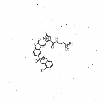 CCN(CC)CCNC(=O)c1cc(C)[nH]c1/C=C1\C(=O)Nc2ccc(S(=O)(=O)Cc3c(Cl)cccc3Cl)cc21